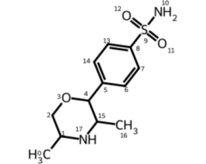 CC1COC(c2ccc(S(N)(=O)=O)cc2)C(C)N1